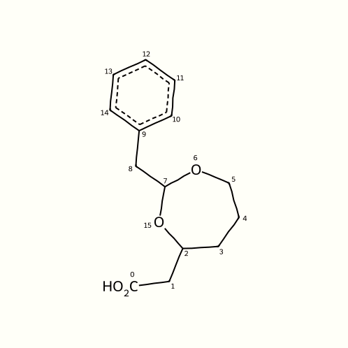 O=C(O)CC1CCCOC(Cc2ccccc2)O1